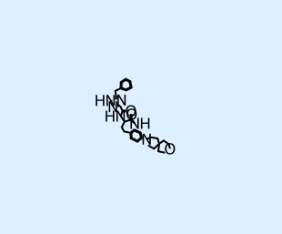 O=C(N[C@@H]1CCc2ccc(N3CCC4(CCOCC4)CC3)cc2NC1=O)c1n[nH]c(Cc2ccccc2)n1